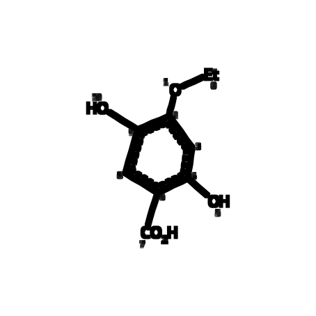 CCOc1cc(O)c(C(=O)O)cc1O